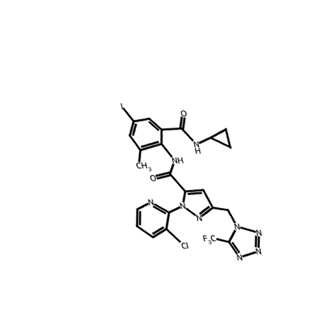 Cc1cc(I)cc(C(=O)NC2CC2)c1NC(=O)c1cc(Cn2nnnc2C(F)(F)F)nn1-c1ncccc1Cl